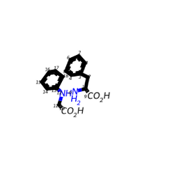 NC(Cc1ccccc1)C(=O)O.O=C(O)CNc1ccccc1